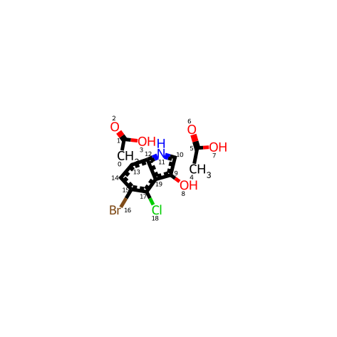 CC(=O)O.CC(=O)O.Oc1c[nH]c2ccc(Br)c(Cl)c12